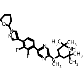 CN(c1cnc(-c2ccc(-c3cnn(C4CCCCO4)c3)c(F)c2F)cn1)C1CC(C)(C)NC(C)(C)C1